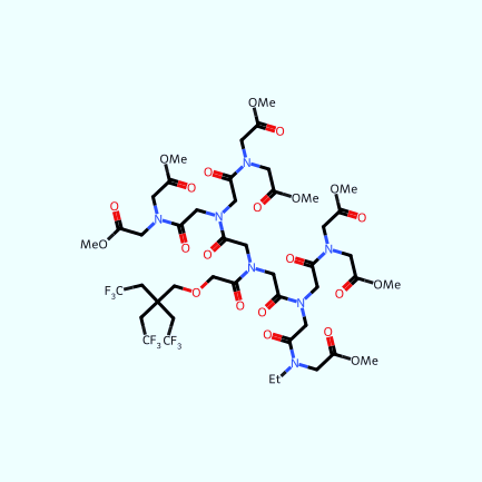 CCN(CC(=O)OC)C(=O)CN(CC(=O)N(CC(=O)OC)CC(=O)OC)C(=O)CN(CC(=O)N(CC(=O)N(CC(=O)OC)CC(=O)OC)CC(=O)N(CC(=O)OC)CC(=O)OC)C(=O)COCC(CC(F)(F)F)(CC(F)(F)F)CC(F)(F)F